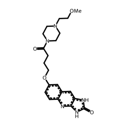 COCCN1CCN(C(=O)CCCOc2ccc3nc4[nH]c(=O)[nH]c4cc3c2)CC1